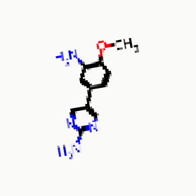 COc1ccc(-c2cnc(N)nc2)cc1N